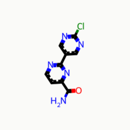 NC(=O)c1ccnc(-c2cnc(Cl)nc2)n1